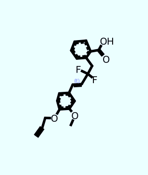 C#CCOc1ccc(/C=C/C(F)(F)Cc2ccccc2C(=O)O)cc1OC